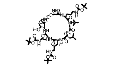 CC(C)C[C@@H]1NC(=O)[C@@H](CC(C)C)NC(=O)[C@H](CCCNC(=O)OC(C)(C)C)NC(=O)[C@@H](N)CCNC(=O)[C@H](C(C)O)NC(=O)[C@H](CCNC(=O)OC(C)(C)C)NC(=O)[C@H](CCCNC(=O)OC(C)(C)C)NC1=O